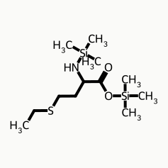 CCSCCC(N[Si](C)(C)C)C(=O)O[Si](C)(C)C